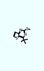 CSc1nc(C(C)(C)C)c2sccc2n1